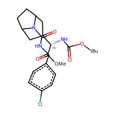 COC(=O)[C@@H](NC(=O)OC(C)(C)C)C1CC2CCC(C1)N2C(=O)NCc1ccc(Cl)cc1